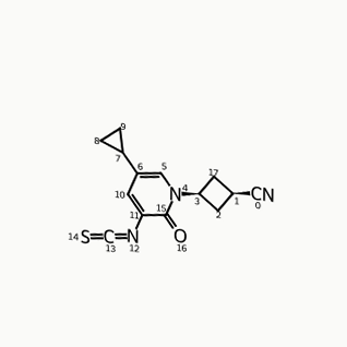 N#C[C@H]1C[C@@H](n2cc(C3CC3)cc(N=C=S)c2=O)C1